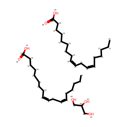 CCCCC/C=C\C/C=C\CCCCCCCC(=O)O.CCCCC/C=C\C/C=C\CCCCCCCC(=O)O.OCC(O)CO